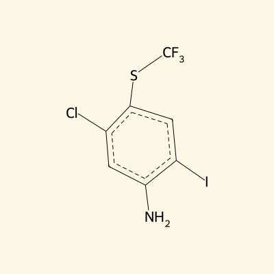 Nc1cc(Cl)c(SC(F)(F)F)cc1I